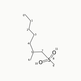 CCCCCC(C)CS(C)(=O)=O